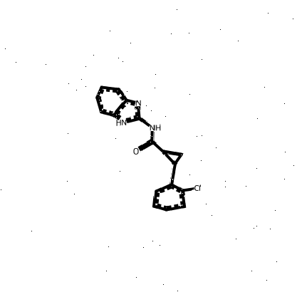 O=C(Nc1nc2ccccc2[nH]1)C1CC1c1ccccc1Cl